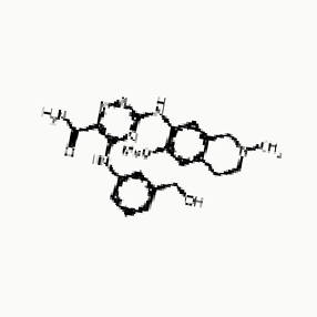 COc1cc2c(cc1Nc1nnc(C(N)=O)c(Nc3cccc(CO)c3)n1)CN(C)CC2